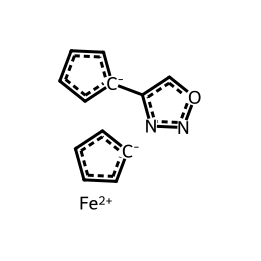 [Fe+2].c1cc[c-](-c2conn2)c1.c1cc[cH-]c1